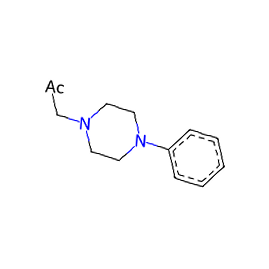 CC(=O)CN1CCN(c2ccccc2)CC1